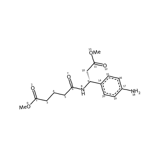 COC(=O)CCCC(=O)N[C@H](CC(=O)OC)c1ccc(N)cc1